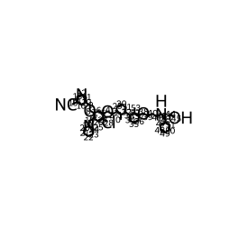 Cc1c(COc2cc(OCc3cncc(C#N)c3)c(CN3CCCC[C@H]3C)cc2Cl)cccc1-c1cccc(OCCCN[C@@H](CO)c2ccccc2)c1C